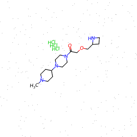 CN1CCC(N2CCN(C(=O)COCC3CCN3)CC2)CC1.Cl.Cl.Cl